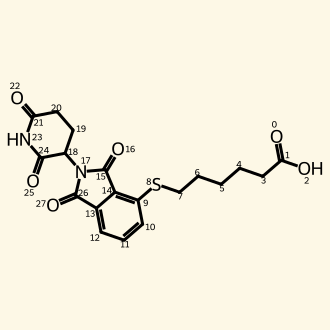 O=C(O)CCCCCSc1cccc2c1C(=O)N(C1CCC(=O)NC1=O)C2=O